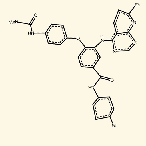 CNC(=O)Nc1ccc(Oc2ccc(C(=O)Nc3ccc(Br)cc3)cc2Nc2ncnc3nc(C(C)C)ccc23)cc1